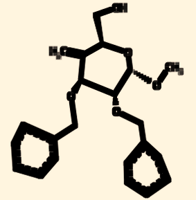 C=C1[C@@H](CO)O[C@H](OC)[C@H](OCc2ccccc2)[C@H]1OCc1ccccc1